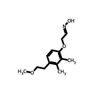 COCCc1ccc(OCC=NO)c(C)c1C